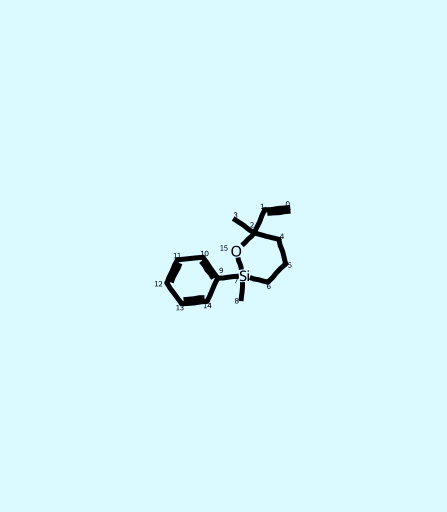 C=CC1(C)CCC[Si](C)(c2ccccc2)O1